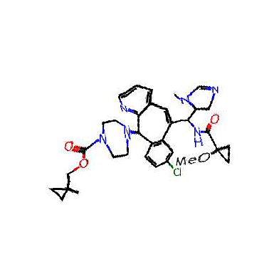 COC1(C(=O)NC(C2=Cc3cccnc3C(N3CCN(C(=O)OCC4(C)CC4)CC3)c3ccc(Cl)cc32)C2CN=CN2C)CC1